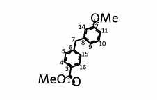 COC(=O)c1ccc(Cc2cccc(OC)c2)cc1